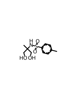 Cc1ccc(S(=O)(=O)NC(C)(CO)CO)cc1